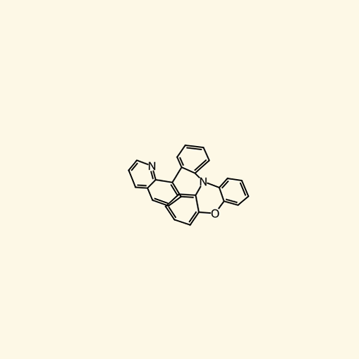 c1ccc2c(c1)Oc1ccccc1N2c1ccccc1-c1cccc2cccnc12